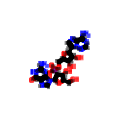 Nc1nc2c(ncn2[C@@H]2O[C@H](CO)[C@@H](O)[C@H]2P(=O)(O)OCC2O[C@@H](c3cnc4c(N)ncnn34)[C@H](O)[C@@H]2O)c(=O)[nH]1